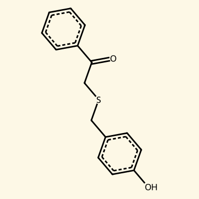 O=C(CSCc1ccc(O)cc1)c1ccccc1